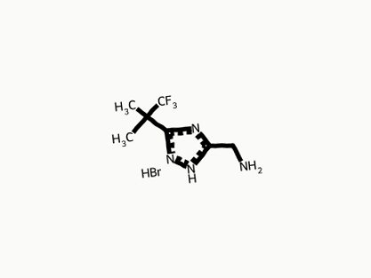 Br.CC(C)(c1n[nH]c(CN)n1)C(F)(F)F